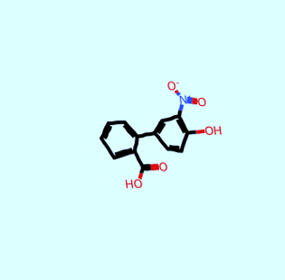 O=C(O)c1ccccc1-c1ccc(O)c([N+](=O)[O-])c1